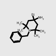 CCC1(N)CC(C)(C)N(Cc2ccccc2)C(C)(C)C1